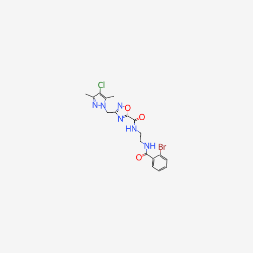 Cc1nn(Cc2noc(C(=O)NCCNC(=O)c3ccccc3Br)n2)c(C)c1Cl